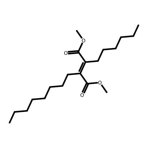 CCCCCCCCC(C(=O)OC)=C(CCCCCC)C(=O)OC